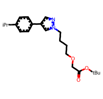 CC(C)c1ccc(-c2cnn(CCCCOCC(=O)OC(C)(C)C)c2)cc1